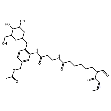 C/C=C\C(=O)N(C=O)CCCCCC(=O)NCCC(=O)Nc1cc(COC(C)=O)ccc1OC1CC(O)C(O)C(CO)O1